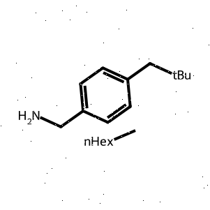 CC(C)(C)Cc1ccc(CN)cc1.CCCCCCC